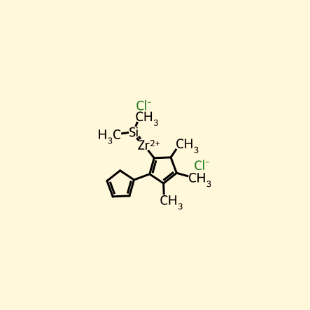 CC1=C(C)C(C)[C]([Zr+2]=[Si](C)C)=C1C1=CC=CC1.[Cl-].[Cl-]